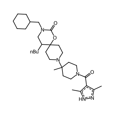 CCCCC1CN(CC2CCCCC2)C(=O)OC12CCN(C1(C)CCN(C(=O)c3c(C)n[nH]c3C)CC1)CC2